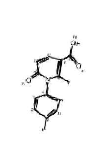 Cc1ccc(-n2c(C)c(C(=O)O)ccc2=O)cc1